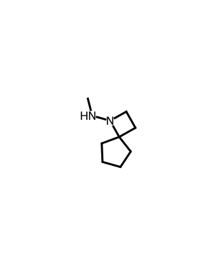 CNN1CCC12CCCC2